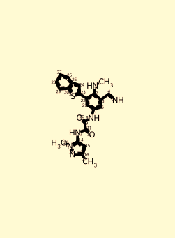 CNc1c(C=N)cc(NC(=O)C(=O)Nc2cc(C)nn2C)cc1-c1cc2ccccc2s1